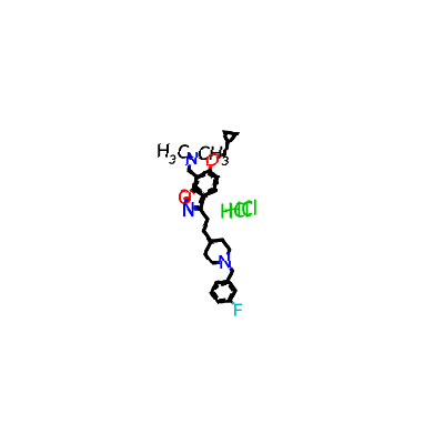 CN(C)Cc1c(OCC2CC2)ccc2c(CCC3CCN(Cc4cccc(F)c4)CC3)noc12.Cl.Cl